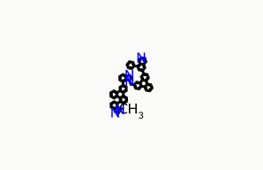 Cn1cnc2cccc(-c3cccc4c5ccc(-c6cccc7ncn(Cc8ccc9c%10ccccc%10c%10ccc(-c%11cc(-c%12ccccc%12)c%12cnccc%12c%11)cc%10c9c8)c67)cc5c5ccccc5c34)c21